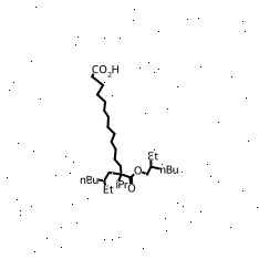 CCCCC(CC)COC(=O)C(CCCCCCCCCCCCC(=O)O)(CC(CC)CCCC)C(C)C